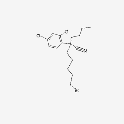 CCCCC(C#N)(CCCCCBr)c1ccc(Cl)cc1Cl